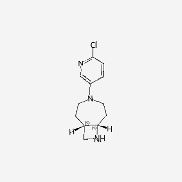 Clc1ccc(N2CC[C@H]3CN[C@H]3CC2)cn1